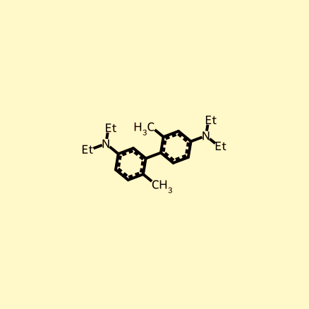 CCN(CC)c1ccc(-c2cc(N(CC)CC)ccc2C)c(C)c1